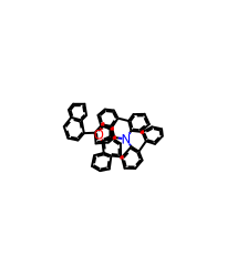 c1ccc(-c2ccccc2N(c2ccc(-c3cccc4ccccc34)cc2)c2ccccc2-c2cccc3oc4c5ccccc5ccc4c23)cc1